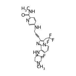 CNC(=O)c1ccc(NCC#Cc2nc3c(N[C@@H]4CCN(C)C[C@@H]4F)cccn3c2CC(F)(F)F)cn1